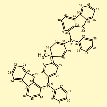 CC1(c2ccc(N(c3ccccc3)c3cccc4c3sc3ccccc34)cc2)C=CC(N(c2ccccc2)c2cccc3c2sc2ccccc23)=CC1